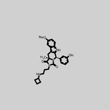 COc1ccc2[nH]c3c(c2c1)C[C@@]1(C)C(=O)N(CCCNC2CCC2)C(=O)N1[C@@H]3c1cccc(O)c1